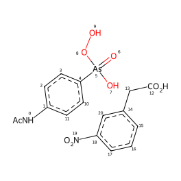 CC(=O)Nc1ccc([As](=O)(O)OO)cc1.O=C(O)Cc1cccc([N+](=O)[O-])c1